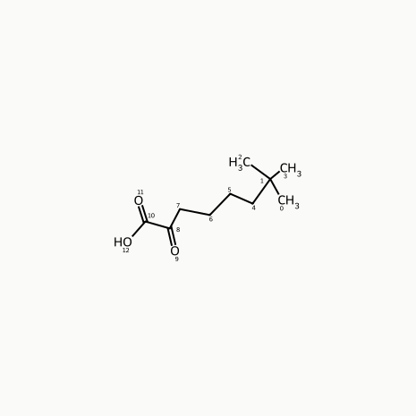 CC(C)(C)CCCCC(=O)C(=O)O